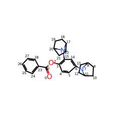 O=C(Oc1ccc(N2C3CCC2CC3)cc1N1C2CCC1CC2)c1ccccc1